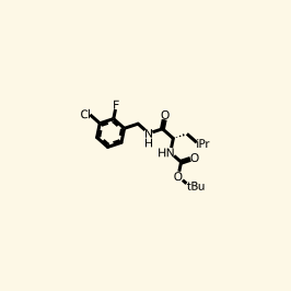 CC(C)C[C@H](NC(=O)OC(C)(C)C)C(=O)NCc1cccc(Cl)c1F